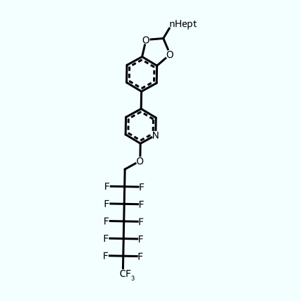 CCCCCCCC1Oc2ccc(-c3ccc(OCC(F)(F)C(F)(F)C(F)(F)C(F)(F)C(F)(F)C(F)(F)F)nc3)cc2O1